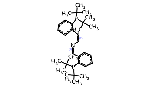 CC(C)(C)P(c1ccccc1/C=C\N=C/c1ccccc1P(C(C)(C)C)C(C)(C)C)C(C)(C)C